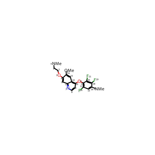 CNCCOc1cc2nccc(Oc3c(F)cc(NC)c(F)c3F)c2cc1OC